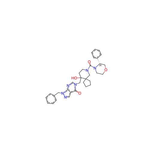 O=C(N1CCC(O)(Cn2cnc3c(cnn3Cc3ccccc3)c2=O)C2(CCCC2)C1)N1CCOC[C@H]1c1ccccc1